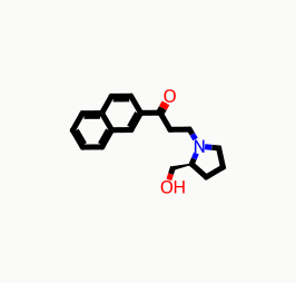 O=C(CCN1CCC[C@H]1CO)c1ccc2ccccc2c1